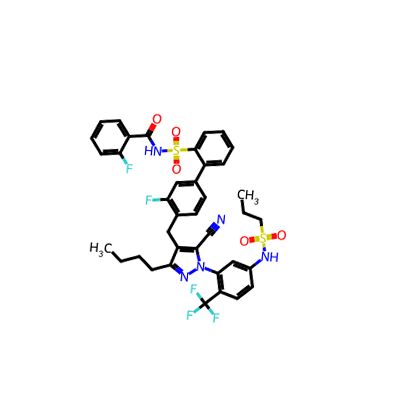 CCCCc1nn(-c2cc(NS(=O)(=O)CCC)ccc2C(F)(F)F)c(C#N)c1Cc1ccc(-c2ccccc2S(=O)(=O)NC(=O)c2ccccc2F)cc1F